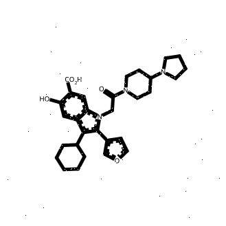 O=C(O)c1cc2c(cc1O)c(C1CCCCC1)c(-c1ccoc1)n2CC(=O)N1CCC(N2CCCC2)CC1